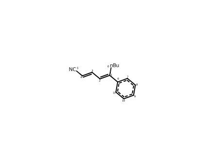 CCCCC(=CC=CC#N)c1ccccc1